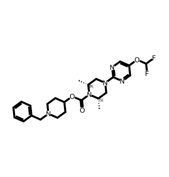 C[C@@H]1CN(c2ncc(OC(F)F)cn2)C[C@H](C)N1C(=O)OC1CCN(Cc2ccccc2)CC1